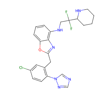 FC(F)(CNc1cccc2oc(Cc3cc(Cl)ccc3-n3cncn3)nc12)C1CCCCN1